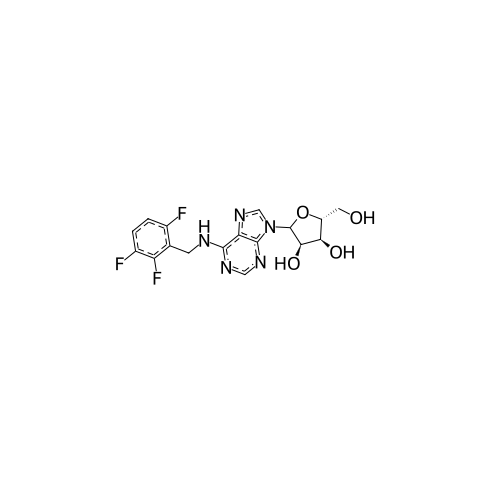 OC[C@H]1OC(n2cnc3c(NCc4c(F)ccc(F)c4F)ncnc32)[C@H](O)[C@@H]1O